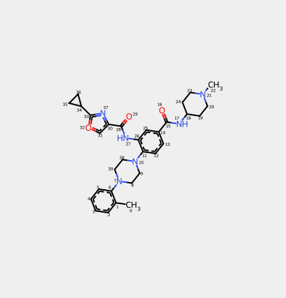 Cc1ccccc1N1CCN(c2ccc(C(=O)NC3CCN(C)CC3)cc2NC(=O)c2coc(C3CC3)n2)CC1